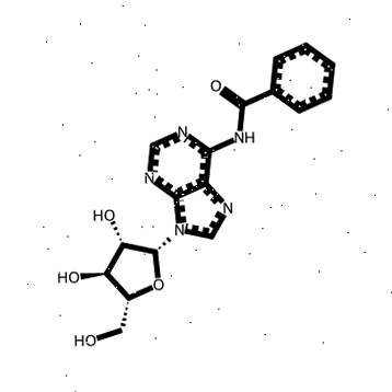 O=C(Nc1ncnc2c1ncn2[C@@H]1O[C@H](CO)[C@@H](O)[C@@H]1O)c1ccccc1